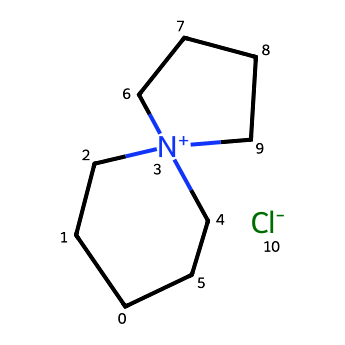 C1CC[N+]2(CC1)CCCC2.[Cl-]